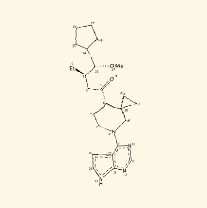 CC[C@H](CC(=O)[C@H]1CCN(c2ncnc3[nH]ccc23)CC12CC2)[C@@H](OC)C1CCCC1